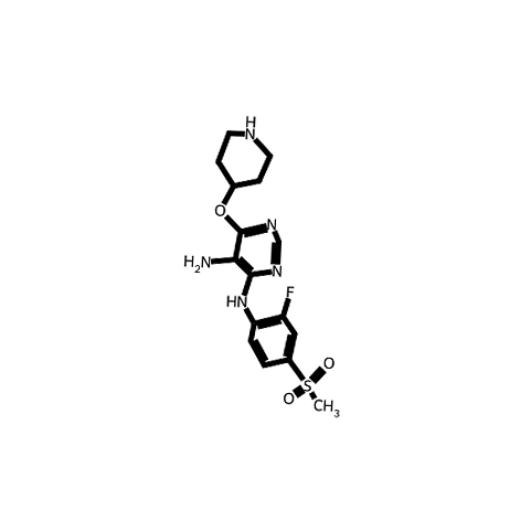 CS(=O)(=O)c1ccc(Nc2ncnc(OC3CCNCC3)c2N)c(F)c1